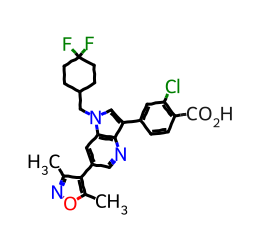 Cc1noc(C)c1-c1cnc2c(-c3ccc(C(=O)O)c(Cl)c3)cn(CC3CCC(F)(F)CC3)c2c1